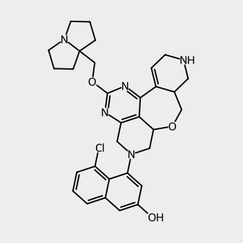 Oc1cc(N2Cc3nc(OCC45CCCN4CCC5)nc4c3C(C2)OCC2CNCC=C42)c2c(Cl)cccc2c1